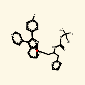 CC(C)(C)OC(=O)NC(Cc1cccs1)CN1On2c(-c3ccc(F)cc3)c(-c3ccncc3)c3ccc1nc32